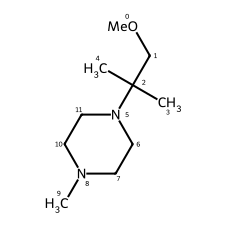 COCC(C)(C)N1CCN(C)CC1